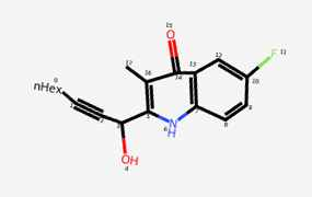 CCCCCCC#CC(O)c1[nH]c2ccc(F)cc2c(=O)c1C